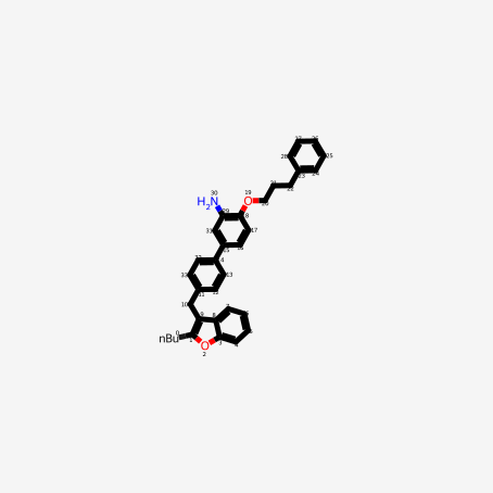 CCCCc1oc2ccccc2c1Cc1ccc(-c2ccc(OCCCc3ccccc3)c(N)c2)cc1